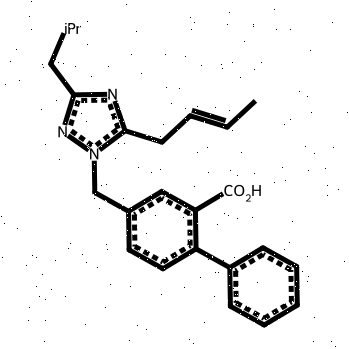 CC=CCc1nc(CC(C)C)nn1Cc1ccc(-c2ccccc2)c(C(=O)O)c1